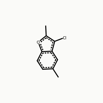 Cc1ccc2oc(C)c(Cl)c2c1